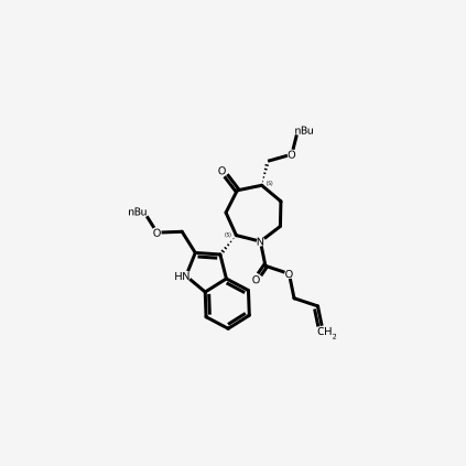 C=CCOC(=O)N1CC[C@@H](COCCCC)C(=O)C[C@H]1c1c(COCCCC)[nH]c2ccccc12